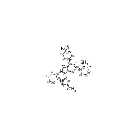 Cc1cc(-c2nsc3c(N4CCC(F)(F)CC4)cc(N4CCOC[C@H]4C)nc23)n(C2CCCCO2)n1